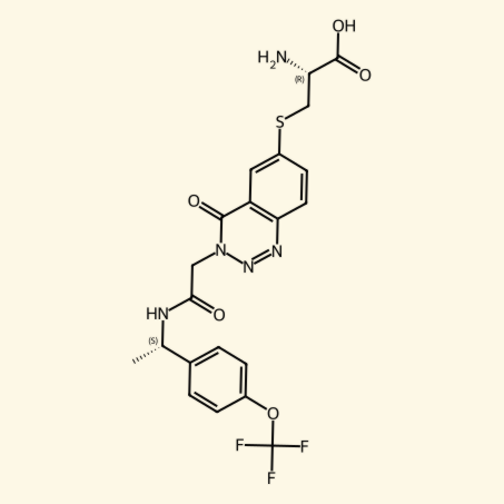 C[C@H](NC(=O)Cn1nnc2ccc(SC[C@H](N)C(=O)O)cc2c1=O)c1ccc(OC(F)(F)F)cc1